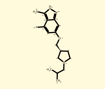 CC(C)CN1CC[C@H](COc2cc(F)c3c(N)[nH]nc3c2)C1